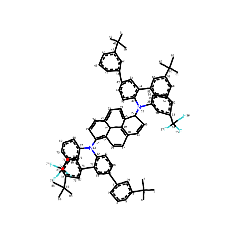 CC(C)(C)c1cccc(-c2ccc(N(C3=C4C=CC5=C6C(=CC=C(C=C3)C46)C(N(c3cccc(C(F)(F)F)c3)c3ccc(-c4cccc(C(C)(C)C)c4)cc3-c3cccc(C(C)(C)C)c3)C=C5)c3cccc(C(F)(F)F)c3)c(-c3cccc(C(C)(C)C)c3)c2)c1